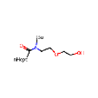 CCCCCCCC(=O)N(CCOCCO)C(C)(C)C